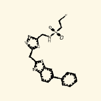 O=S(=O)(CCF)NCc1nnc(Cc2nc3ccc(-c4ccccc4)cc3s2)o1